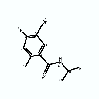 Cc1cc(F)c(Br)cc1C(=O)NC(C)C